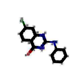 O=c1[nH]c(Nc2ccccc2)nc2cc(Cl)ccc12